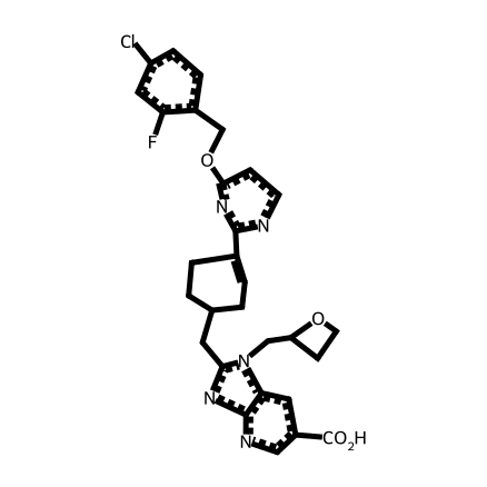 O=C(O)c1cnc2nc(CC3CC=C(c4nccc(OCc5ccc(Cl)cc5F)n4)CC3)n(CC3CCO3)c2c1